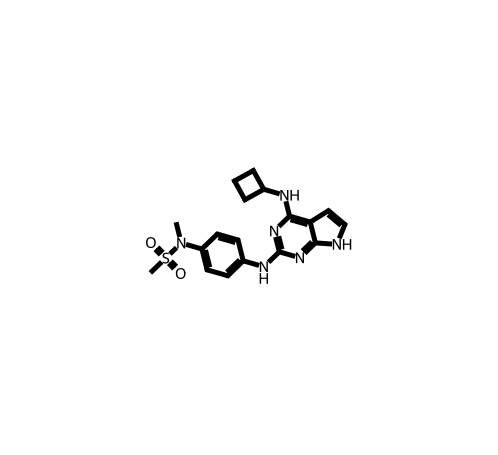 CN(c1ccc(Nc2nc(NC3CCC3)c3cc[nH]c3n2)cc1)S(C)(=O)=O